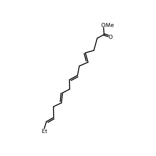 CCC=CCC=CCC=CCC=CCCC(=O)OC